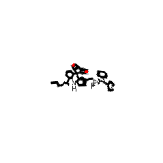 C=C/C=C\C=C(/C)c1cccc2c1Nc1ccc(CN(F)N(Cc3ccccc3)c3ccccc3)cc1C21c2ccccc2-c2ccccc21